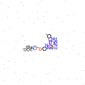 Cc1ccc(NC(=O)c2nc[nH]c2C(=O)Nc2nc3cc(OCC4CC[N+](C(=O)[O-])(C(C)(C)C)CC4)ccc3[nH]2)c(C)c1